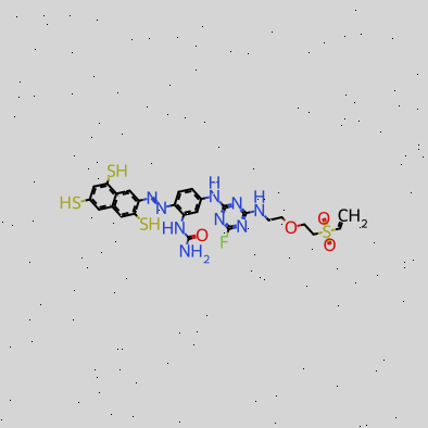 C=CS(=O)(=O)CCOCCNc1nc(F)nc(Nc2ccc(/N=N/c3cc4c(S)cc(S)cc4cc3S)c(NC(N)=O)c2)n1